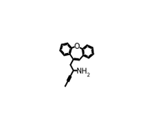 CC#CC(N)CC1=Cc2ccccc2Oc2ccccc21